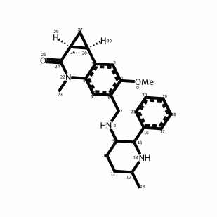 COc1cc2c(cc1CNC1CCC(C)NC1c1ccccc1)N(C)C(=O)[C@H]1C[C@@H]21